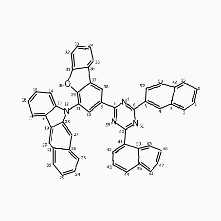 c1ccc2cc(-c3nc(-c4cc(-n5c6ccccc6c6cc7ccccc7cc65)c5oc6ccccc6c5c4)nc(-c4cccc5ccccc45)n3)ccc2c1